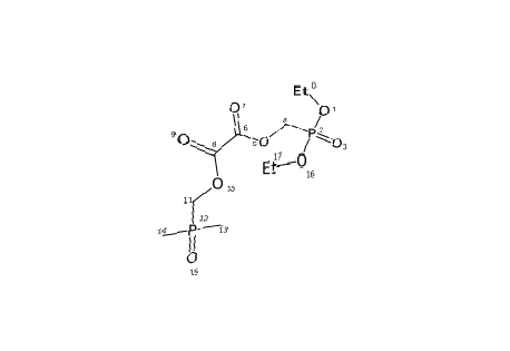 CCOP(=O)(COC(=O)C(=O)OCP(C)(C)=O)OCC